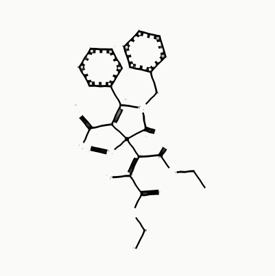 C=NC1(/C(C(=O)OCC)=C(\N)C(=O)OCC)C(=O)N(Cc2ccccc2)C(c2ccccc2)=C1C(N)=O